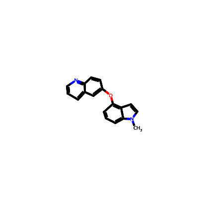 Cn1ccc2c(Oc3ccc4ncccc4c3)cccc21